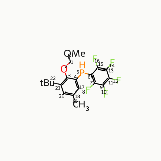 COCOc1c(Pc2c(F)c(F)c(F)c(F)c2F)cc(C)cc1C(C)(C)C